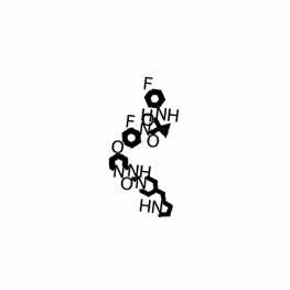 O=C(Nc1cc(Oc2ccc(NC(=O)C3(C(=O)Nc4ccc(F)cc4)CC3)c(F)c2)ccn1)N1CCC(CC2CCCN2)CC1